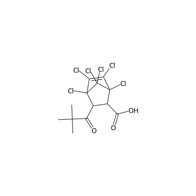 CC(C)(C)C(=O)C1C(C(=O)O)C2(Cl)C(Cl)=C(Cl)C1(Cl)C2(Cl)Cl